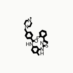 Cc1ccc(NC(=O)c2ccc(CN3CCN(C)CC3)cc2)cc1Nc1nc(-c2ccccc2F)cs1